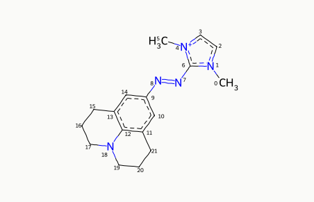 Cn1cc[n+](C)c1N=Nc1cc2c3c(c1)CCCN3CCC2